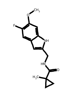 COc1cc2[nH]c(CNC(=O)C3(C)CC3)cc2cc1F